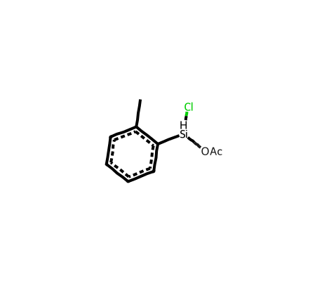 CC(=O)O[SiH](Cl)c1ccccc1C